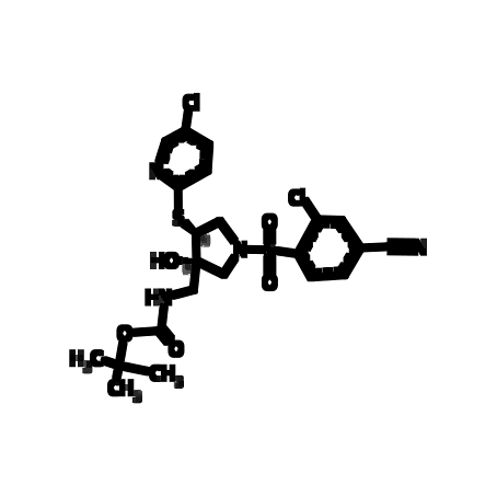 CC(C)(C)OC(=O)NC[C@]1(O)CN(S(=O)(=O)c2ccc(C#N)cc2Cl)C[C@@H]1Sc1ccc(Cl)cn1